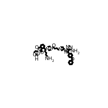 NCCCCC(c1cccc2c1C(=O)N(C1CCONO1)C2=O)N1CCN(C(=O)CCCN2CCC(n3nc(-c4ccc(Oc5ccccc5)cc4)c4c(N)ncnc43)C2)CC1